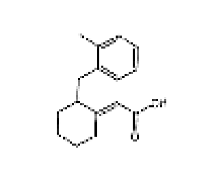 Cc1ccccc1CC1CCCCC1=CC(=O)O